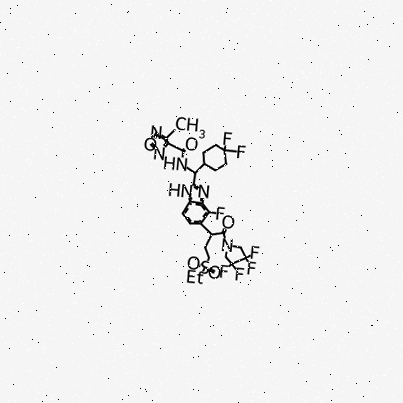 CCS(=O)(=O)CCC(C(=O)N1CC(F)(F)C(F)(F)C1)c1ccc2[nH]c(C(NC(=O)c3nonc3C)C3CCC(F)(F)CC3)nc2c1F